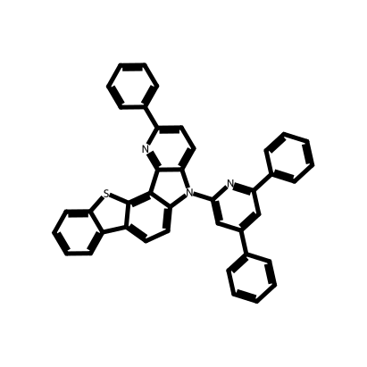 c1ccc(-c2cc(-c3ccccc3)nc(-n3c4ccc(-c5ccccc5)nc4c4c5sc6ccccc6c5ccc43)c2)cc1